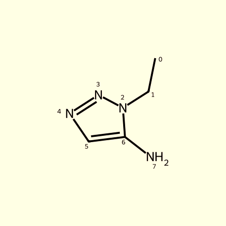 CCn1nncc1N